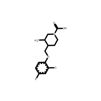 CC1CN(C(=O)O)CCC1COc1ccc(F)cc1Cl